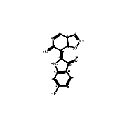 O=C1C=CC2C=NOC2C1=C1Nc2cc(F)ccc2C1=O